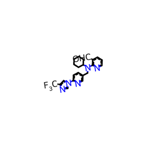 O=Cc1cccnc1N(Cc1ccc(-n2cnc(C(F)(F)F)c2)nc1)C1CCCCC1